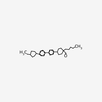 CCCCCC1(C=O)CCC(c2ccc(-c3ccc(C4CCC(CC)CC4)cc3)cc2)CC1